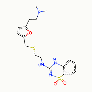 CN(C)CCc1ccc(CSCCNC2=NS(=O)(=O)c3ccccc3N2)o1